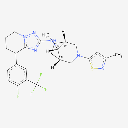 Cc1cc(N2C[C@@H]3CC(C)[C@H](C2)[C@H]3Nc2nc3n(n2)CCCC3c2ccc(F)c(C(F)(F)F)c2)sn1